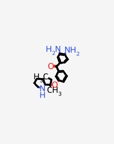 CCC(C)(Oc1cccc(C(=O)c2ccc(N)c(N)c2)c1)C1CCCCN1